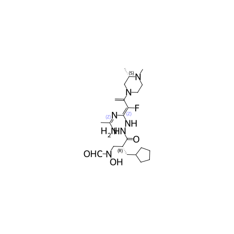 C=C(/C(F)=C(\N=C(\C)N)NNC(=O)[C@H](CC1CCCC1)CN(O)C=O)N1CCN(C)[C@@H](C)C1